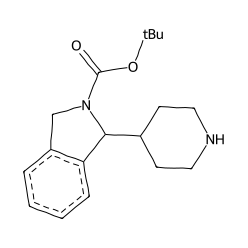 CC(C)(C)OC(=O)N1Cc2ccccc2C1C1CCNCC1